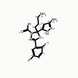 CC(C)C(=O)N1N=C(c2cc(F)ccc2F)OC1(CCCN)c1cc(N)n[nH]1